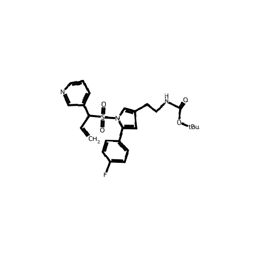 C=CC(c1cccnc1)S(=O)(=O)n1cc(CCNC(=O)OC(C)(C)C)cc1-c1ccc(F)cc1